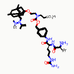 C=C(C)N(CC12CC3(C)CC(C)(C1)CC(OCCN(CCS(=O)(=O)O)C(=O)OCc1ccc(NC(=O)[C@H](CCCNC(N)=O)NC(=O)[C@@H](N)C(C)C)cc1)(C3)C2)N(C)CC